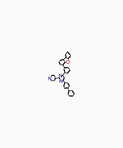 c1ccc(-c2ccc(-c3cc(-c4cccc(-c5cccc6c5oc5ccccc56)c4)nc(-c4ccncc4)n3)cc2)cc1